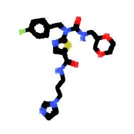 O=C(NCCCn1ccnc1)c1cnc(N(Cc2ccc(F)cc2)C(=O)NCC2COCCO2)s1